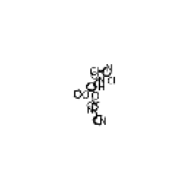 CC1(COc2cc(C(=O)Nc3c(Cl)cncc3Cl)ccc2OC2CCCC2)CC(c2cccnc2)=NO1